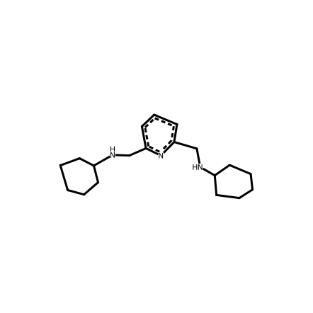 c1cc(CNC2CCCCC2)nc(CNC2CCCCC2)c1